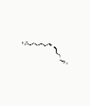 CCCCC=C=CCCCCCC